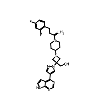 C=C(CCc1ccc(F)cc1F)N1CCC(N2CC(CC#N)(n3cc(-c4ncnc5[nH]ccc45)cn3)C2)CC1